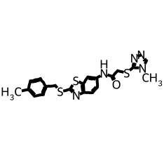 Cc1ccc(CSc2nc3ccc(NC(=O)CSc4nncn4C)cc3s2)cc1